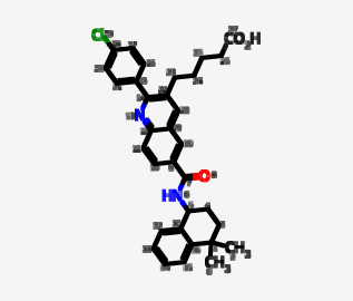 CC1(C)CCC(NC(=O)c2ccc3nc(-c4ccc(Cl)cc4)c(CCCCC(=O)O)cc3c2)c2ccccc21